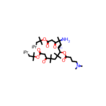 CC(C)CC(C)(C)OC(=O)CC(=O)C(C)(N)/C=C/C(OC(=O)CCCN(C)C)C(C)(C)CC(C)(C)C(=O)CC(=O)OC(C)(C)CC(C)C